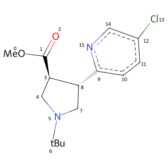 COC(=O)[C@@H]1CN(C(C)(C)C)C[C@H]1c1ccc(Cl)cn1